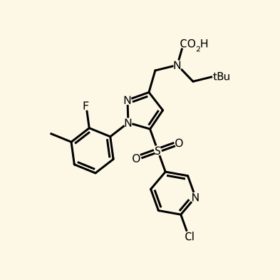 Cc1cccc(-n2nc(CN(CC(C)(C)C)C(=O)O)cc2S(=O)(=O)c2ccc(Cl)nc2)c1F